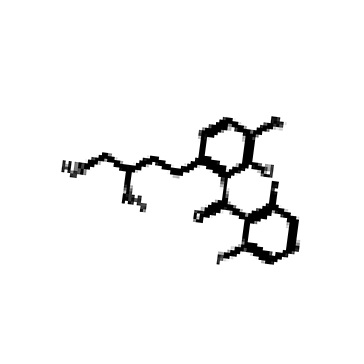 NCC(N)CCc1ccc(Br)c(Cl)c1C(=O)c1c(F)cccc1F